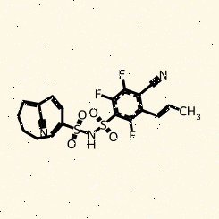 C/C=C/c1c(F)c(S(=O)(=O)NS(=O)(=O)C2=C/CCC/C=C(C#N)/C=C\2)c(F)c(F)c1C#N